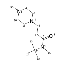 CN1CCN(CCC(=O)N(C)C(C)(C)C)CC1